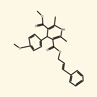 COC(=O)C1=C(C)NC(C)=C(C(=O)OCC=Cc2ccccc2)C1c1ccc(SC)cc1